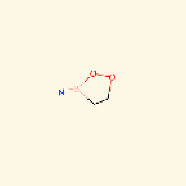 B1CCOO1.[N]